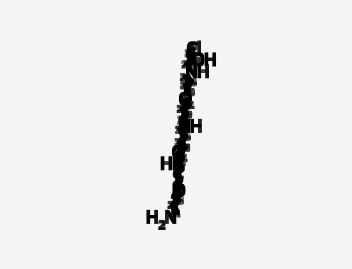 NCCCCOCCCCNCOCCCCNCCCCOCCCCNCC(O)CCl